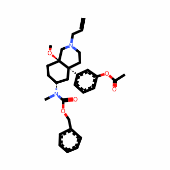 C=CCN1CC[C@@]2(c3cccc(OC(C)=O)c3)C[C@H](N(C)C(=O)OCc3ccccc3)CC[C@]2(OC)C1